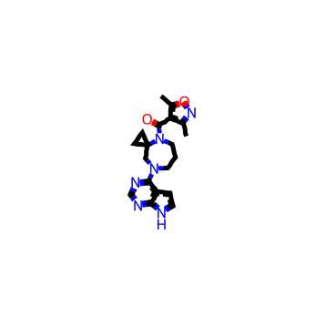 Cc1noc(C)c1C(=O)N1CCCN(c2ncnc3[nH]ccc23)CC12CC2